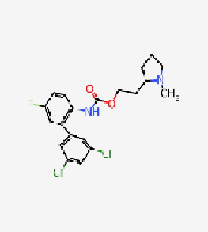 CN1CCCC1CCOC(=O)Nc1ccc(F)cc1-c1cc(Cl)cc(Cl)c1